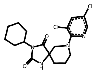 O=C1NC2(CCCN(c3ncc(Cl)cc3Cl)C2)C(=O)N1C1CCCCC1